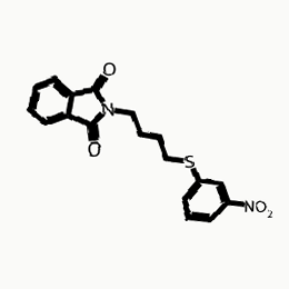 O=C1c2ccccc2C(=O)N1CCCCSc1cccc([N+](=O)[O-])c1